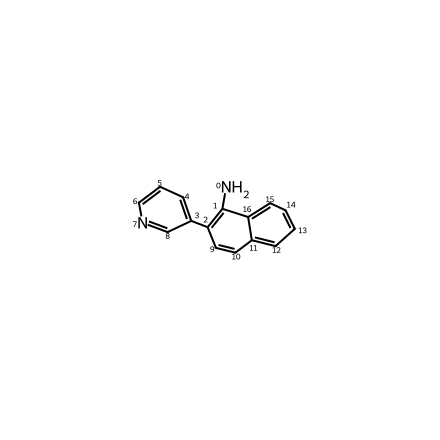 Nc1c(-c2cccnc2)ccc2ccccc12